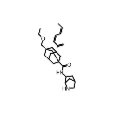 C=C(/C=C\C=C/C)[C@]12CC3CC(C(=O)NC4CC5CNC4C5)(C[C@](COCC)(C3)C1)C2